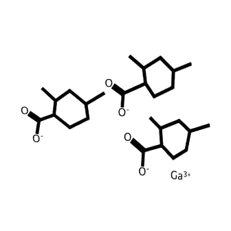 CC1CCC(C(=O)[O-])C(C)C1.CC1CCC(C(=O)[O-])C(C)C1.CC1CCC(C(=O)[O-])C(C)C1.[Ga+3]